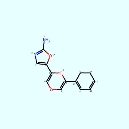 Nc1ncc(C2=COC=C(C3=CC=CCC3)O2)o1